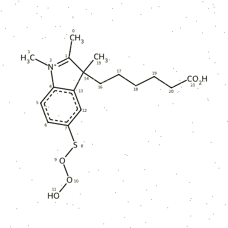 CC1=[N+](C)c2ccc(SOOO)cc2C1(C)CCCCCC(=O)O